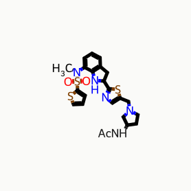 CC(=O)NC1CCN(Cc2cnc(C3Cc4cccc(N(C)S(=O)(=O)c5cccs5)c4N3)s2)C1